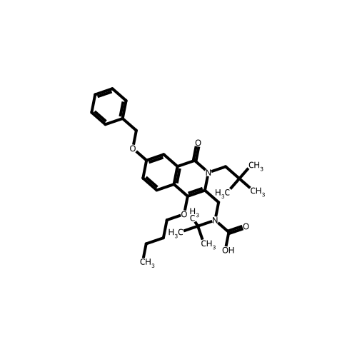 CCCCOc1c(CN(C(=O)O)C(C)(C)C)n(CC(C)(C)C)c(=O)c2cc(OCc3ccccc3)ccc12